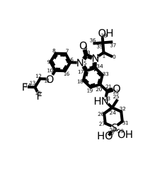 CC(n1c(=O)n(-c2cccc(OCC(F)F)c2)c2ccc(C(=O)NC3(C)CCS(O)(O)CC3)cc21)C(C)(C)O